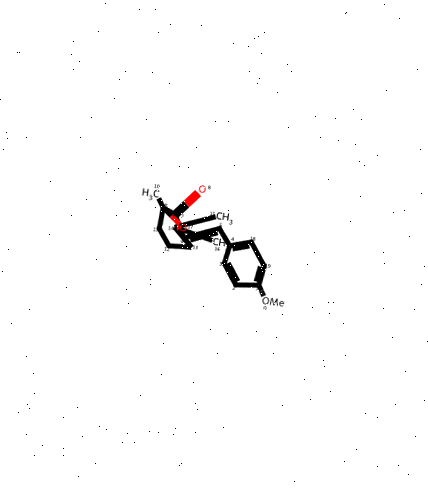 COc1ccc(C=C2C(=O)C3(C)CCC2C(C)(C)O3)cc1